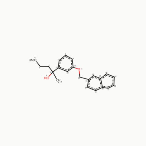 COCCC(C)(O)c1cccc(OCc2ccc3ccccc3c2)c1